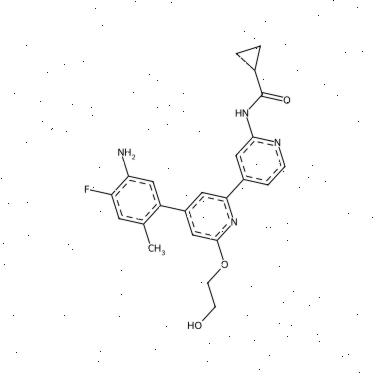 Cc1cc(F)c(N)cc1-c1cc(OCCO)nc(-c2ccnc(NC(=O)C3CC3)c2)c1